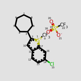 FC(F)(F)[s+]1c(C2CCCCCC2)cc2ccc(Cl)cc21.O=S(=O)([O-])C(F)(F)F